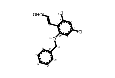 O=CC=Cc1c(Cl)cc(Cl)cc1OCc1ccccc1